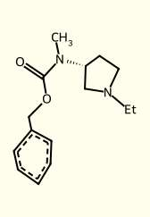 CCN1CC[C@@H](N(C)C(=O)OCc2ccccc2)C1